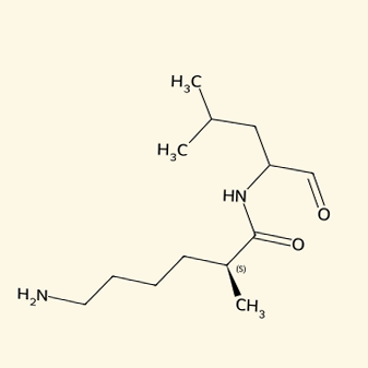 CC(C)CC(C=O)NC(=O)[C@@H](C)CCCCN